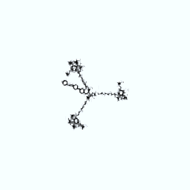 CC(=O)N[C@H]1[C@H](OCCOCCOCCNC(=O)CN(CC(=O)NCCOCCOCCO[C@@H]2O[C@H](COC(C)=O)[C@H](O)[C@H](OC(C)=O)[C@H]2NC(C)=O)C(Cc2ccc(-c3ccc(OCc4ccccc4)cc3)cc2)C(=O)NCCOCCOCCO[C@@H]2O[C@H](COC(C)=O)[C@H](OC(C)=O)[C@H](OC(C)=O)[C@H]2NC(C)=O)O[C@H](COC(C)=O)[C@H](OC(C)=O)[C@@H]1OC(C)=O